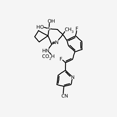 CC1(c2cc(C=C(F)c3ccc(C#N)cn3)ccc2F)CS(O)(O)C2(CCC2)C(NC(=O)O)=N1